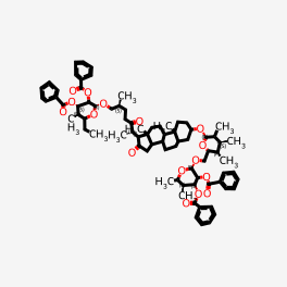 CCC1O[C@@H](OC[C@@H](C)CCC(=O)[C@@H](C)C2C(=O)CC3C4CCC5CC(O[C@@H]6OC(CO[C@@H]7OC(C)[C@H](C)[C@H](OC(=O)c8ccccc8)C7OC(=O)c7ccccc7)[C@H](C)[C@H](C)C6C)CCC5(C)C4CCC32C)C(OC(=O)c2ccccc2)[C@@H](OC(=O)c2ccccc2)[C@@H]1C